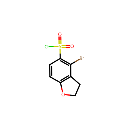 O=S(=O)(Cl)c1ccc2c(c1Br)CCO2